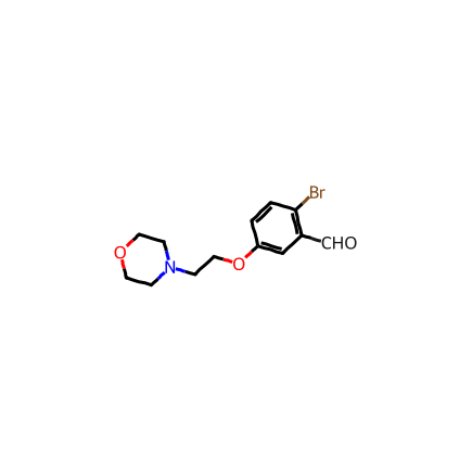 O=Cc1cc(OCCN2CCOCC2)ccc1Br